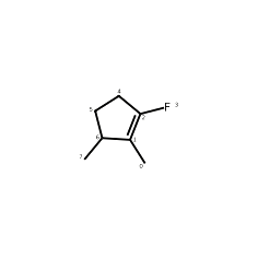 CC1=C(F)CCC1C